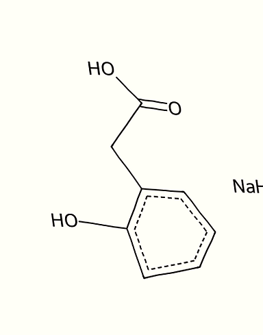 O=C(O)Cc1ccccc1O.[NaH]